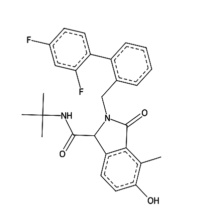 Cc1c(O)ccc2c1C(=O)N(Cc1ccccc1-c1ccc(F)cc1F)C2C(=O)NC(C)(C)C